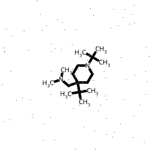 CN(C)CC1(C(C)(C)C)CCN(C(C)(C)C)CC1